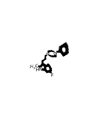 Cc1[nH]c2cc(F)ccc2c1CCCN1CCN(c2ccccc2)CC1